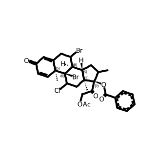 CC(=O)OCC(=O)[C@@]1(OC(=O)c2ccccc2)C(C)C[C@H]2[C@@H]3C(Br)CC4=CC(=O)C=C[C@]4(C)[C@@]3(Br)C(Cl)C[C@@]21C